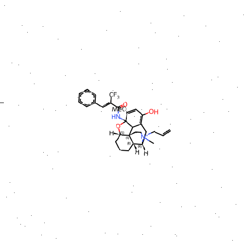 C=CC[N+]1(C)CC[C@]23C4C5=C(O)C=C(OC)C4(NC(=O)C(=Cc4ccccc4)C(F)(F)F)O[C@H]2CCC[C@H]3[C@H]1C5